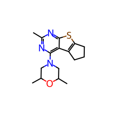 Cc1nc(N2CC(C)OC(C)C2)c2c3c(sc2n1)CCC3